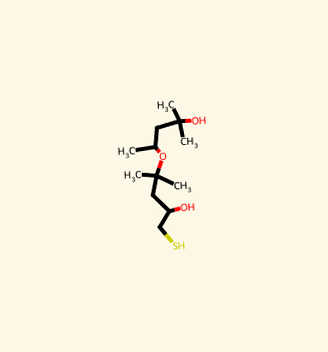 CC(CC(C)(C)O)OC(C)(C)CC(O)CS